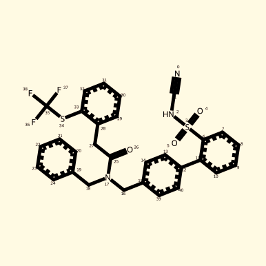 N#CNS(=O)(=O)c1ccccc1-c1ccc(CN(Cc2ccccc2)C(=O)Cc2ccccc2SC(F)(F)F)cc1